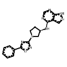 c1ccc(-c2nc(N3CC[C@@H](Nc4ncnc5[nH]ncc45)C3)no2)cc1